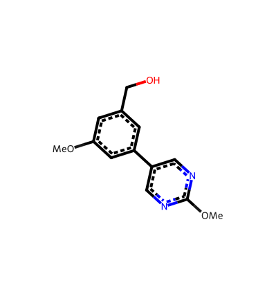 COc1cc(CO)cc(-c2cnc(OC)nc2)c1